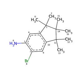 CC1(C)c2cc(N)c(Br)cc2C(C)(C)C1(C)C